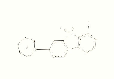 O=S1(=O)c2cc(N3CCC4CCC3CC4)ccc2-c2cccc([18F])c21